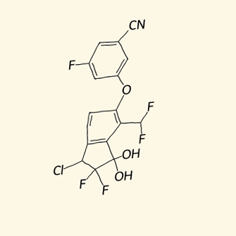 N#Cc1cc(F)cc(Oc2ccc3c(c2C(F)F)C(O)(O)C(F)(F)C3Cl)c1